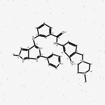 CN1CCN(Cc2ccc(NC(=O)c3cccc(Oc4nc(-c5ccncc5)nc5nn(C)cc45)c3)cc2C(F)(F)F)CC1